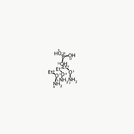 CCON.CCON.CCON.OB(O)O